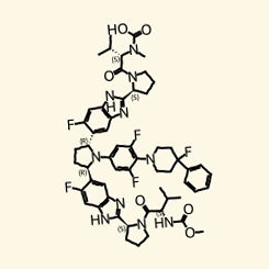 COC(=O)N[C@H](C(=O)N1CCC[C@H]1c1nc2cc([C@H]3CC[C@H](c4cc5nc([C@@H]6CCCN6C(=O)[C@H](C(C)C)N(C)C(=O)O)[nH]c5cc4F)N3c3cc(F)c(N4CCC(F)(c5ccccc5)CC4)c(F)c3)c(F)cc2[nH]1)C(C)C